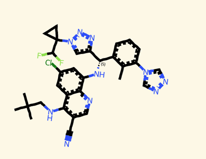 Cc1c([C@H](Nc2cc(Cl)cc3c(NCC(C)(C)C)c(C#N)cnc23)c2cn(C3(C(F)F)CC3)nn2)cccc1-n1cnnc1